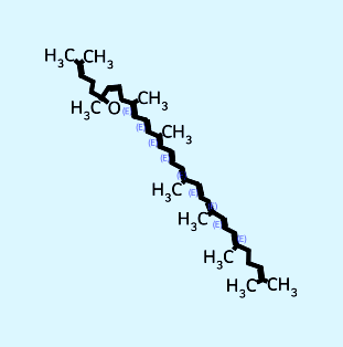 CC(C)=CCC/C(C)=C/C=C/C(C)=C/C=C/C(C)=C/C=C/C=C(C)/C=C/C=C(\C)C1C=CC(C)(CCC=C(C)C)O1